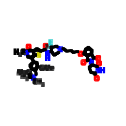 COc1cc(-c2cn(C)c(=O)c3cc(C(=O)NC4CCN(CCCCCOc5cccc6c5C(=O)N(C5CCC(=O)NC5=O)C6=O)CC4(F)F)sc23)cc(OC)c1CN(C)C